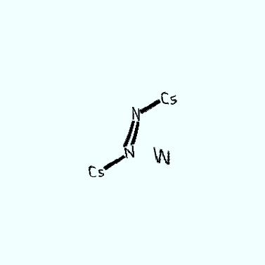 [Cs][N]=[N][Cs].[W]